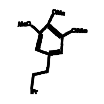 COc1cc(CCC(C)C)cc(OC)c1OC